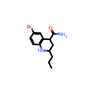 CCCC1CC(C(N)=O)c2cc(Br)ccc2N1